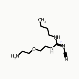 CCCCN/C(=N/C#N)NCCOCCN